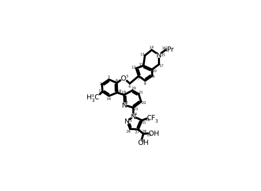 Cc1ccc(OCc2ccc3c(c2)CCN(C(C)C)C3)c(-c2cccc(-n3ncc(C(O)O)c3C(F)(F)F)n2)c1